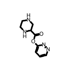 O=C(Oc1cccnn1)C1CNCCN1